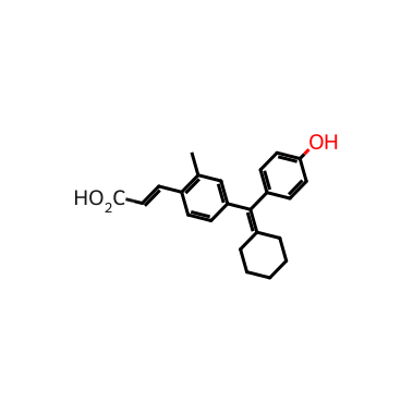 Cc1cc(C(=C2CCCCC2)c2ccc(O)cc2)ccc1C=CC(=O)O